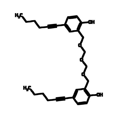 CCCCC#Cc1ccc(O)c(COCOCOCc2cc(C#CCCCC)ccc2O)c1